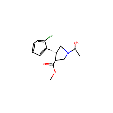 COC(=O)[C@@H]1CN(B(C)O)C[C@H]1c1ccccc1Br